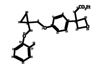 CCOC(=O)CC1(c2ccc(OCC3(COc4ccccc4C)CC3)cc2)COC1